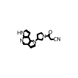 N#CCC(=O)N1CCC(n2ccc3cnc4[nH]ccc4c32)C1